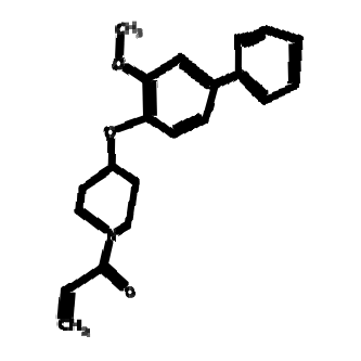 C=CC(=O)N1CCC(Oc2ccc(-c3ccccc3)cc2OC)CC1